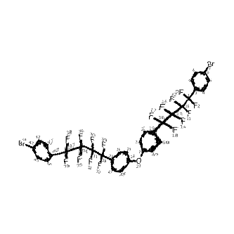 FC(F)(c1ccc(Br)cc1)C(F)(F)C(F)(F)C(F)(F)c1ccc(Oc2ccc(C(F)(F)C(F)(F)C(F)(F)C(F)(F)c3ccc(Br)cc3)cc2)cc1